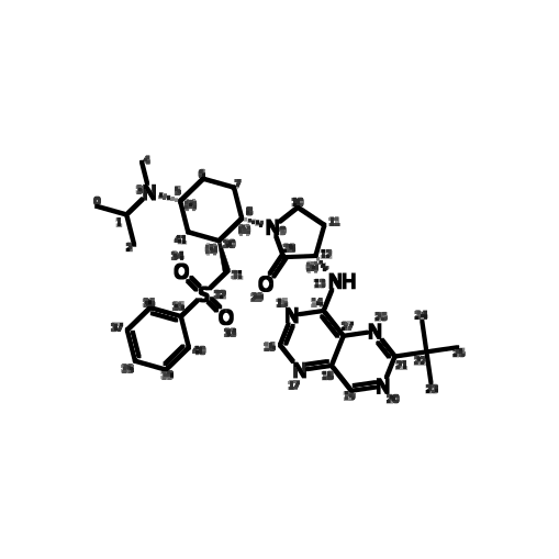 CC(C)N(C)[C@@H]1CC[C@H](N2CC[C@H](Nc3ncnc4cnc(C(C)(C)C)nc34)C2=O)[C@@H](CS(=O)(=O)c2ccccc2)C1